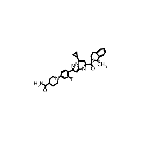 C[C@@H]1c2ccccc2CCN1C(=O)c1cc(C2CC2)n2nc(-c3ccc(N4CCC(C(N)=O)CC4)cc3F)cc2n1